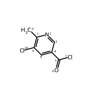 Cc1ncc(C(=O)Cl)cc1Cl